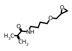 C=C(C)C(=O)NCCCCOCC1CO1